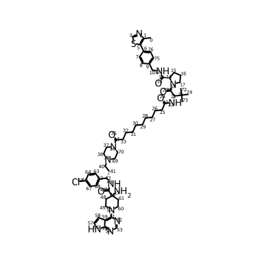 Cc1ncsc1-c1ccc(CNC(=O)[C@H]2CCCN2C(=O)[C@@H](NC(=O)CCCCCCCCCC(=O)N2CCN(CC[C@H](NC(=O)C3(N)CCN(c4ncnc5[nH]ccc45)CC3)c3ccc(Cl)cc3)CC2)C(C)(C)C)cc1